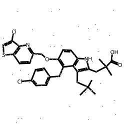 CC(C)(C)Cc1c(CC(C)(C)C(=O)O)[nH]c2ccc(OCc3ccc4scc(Cl)c4n3)c(Cc3ccc(Cl)cc3)c12